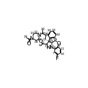 CC(=O)C1=NN2c3cc(F)ccc3OCC2[C@]1(CCC(C)N1CCN(C(C)=O)CC1)c1ccccc1